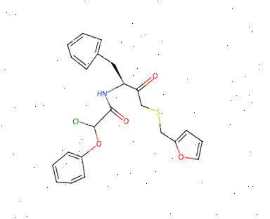 O=C(N[C@@H](Cc1ccccc1)C(=O)CSCc1ccco1)C(Cl)Oc1ccccc1